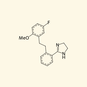 COc1ccc(F)cc1CCc1ccccc1C1=NCCN1